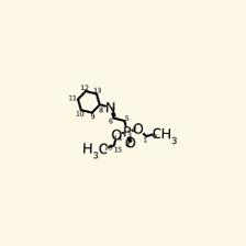 CCOP(=O)(CC=NC1CCCCC1)OCC